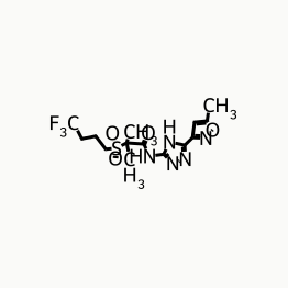 Cc1cc(-c2nnc(NC(=O)C(C)(C)S(=O)(=O)CCCC(F)(F)F)[nH]2)no1